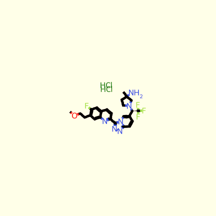 COCCc1cc2nc(-c3nnc4ccc([C@H](N5CCC(C)(N)C5)C(F)(F)F)cn34)ccc2cc1F.Cl.Cl